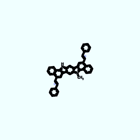 Cn1c2cc3c(cc2c2cc(/C=C/c4ccccc4)c4ccccc4c21)[nH]c1c2ccccc2c(/C=C/c2ccccc2)cc31